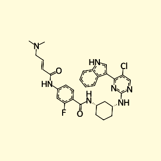 CN(C)CC=CC(=O)Nc1ccc(C(=O)N[C@H]2CCC[C@@H](Nc3ncc(Cl)c(-c4c[nH]c5ccccc45)n3)C2)c(F)c1